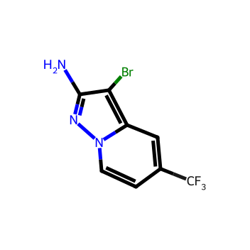 Nc1nn2ccc(C(F)(F)F)cc2c1Br